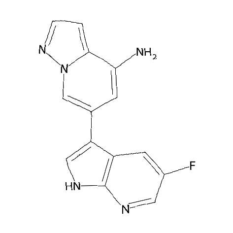 Nc1cc(-c2c[nH]c3ncc(F)cc23)cn2nccc12